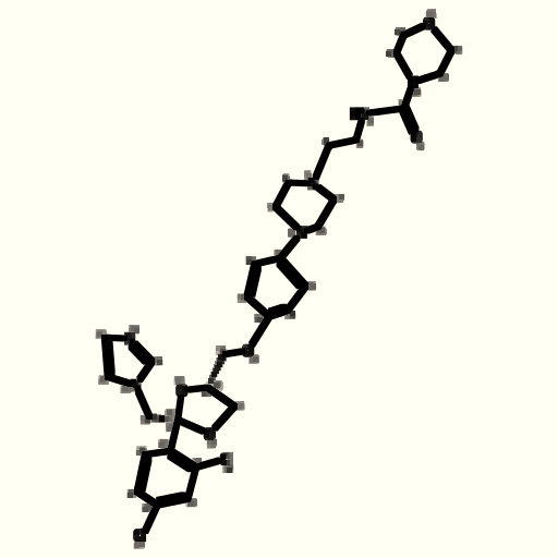 O=C(NCCN1CCN(c2ccc(OC[C@@H]3CO[C@@](Cn4ccnc4)(c4ccc(Cl)cc4Cl)O3)cc2)CC1)N1CCOCC1